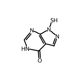 O=c1[nH]cnc2c1cnn2S